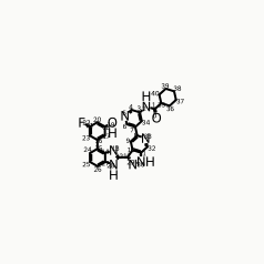 O=C(Nc1cncc(-c2cc3c(-c4nc5c(-c6cc(O)cc(F)c6)cccc5[nH]4)n[nH]c3cn2)c1)C1CCCCC1